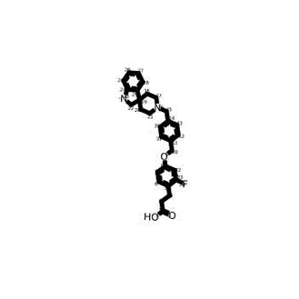 O=C(O)CCc1ccc(OCc2ccc(CN3CCC4(CC3)C[N]c3ccccc34)cc2)cc1F